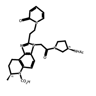 CC(=O)N[C@@H]1CCN(C(=O)Cn2c(CCn3ccccc3=O)nc3c4c(ccc32)N(C(=O)O)[C@@H](C)CC4)C1